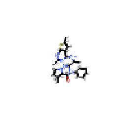 Cc1nc(NC(C)c2nn3ccc(C)c3c(=O)n2-c2ccccc2)c2cc(C)sc2n1